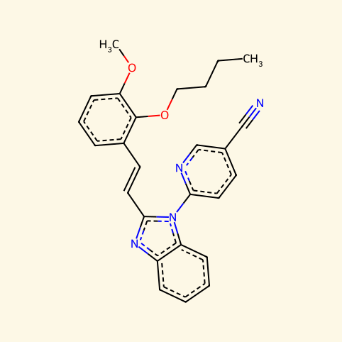 CCCCOc1c(C=Cc2nc3ccccc3n2-c2ccc(C#N)cn2)cccc1OC